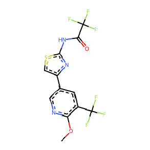 COc1ncc(-c2csc(NC(=O)C(F)(F)F)n2)cc1C(F)(F)F